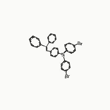 Brc1ccc(N(c2ccc(Br)cc2)c2ccc(C=C(c3ccccc3)c3ccccc3)cc2)cc1